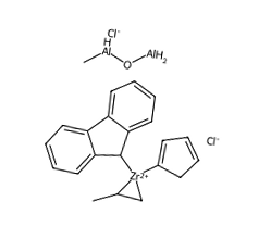 C[CH]1[CH2][Zr+2]1([C]1=CC=CC1)[CH]1c2ccccc2-c2ccccc21.[CH3][AlH][O][AlH2].[Cl-].[Cl-]